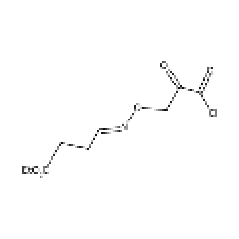 CCOC(=O)CCC=NOCC(=O)C(=O)Cl